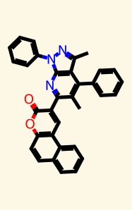 Cc1c(-c2cc3c(ccc4ccccc43)oc2=O)nc2c(c(C)nn2-c2ccccc2)c1-c1ccccc1